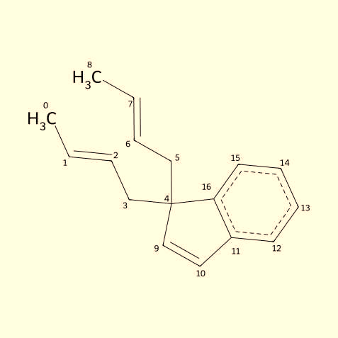 C/C=C/CC1(C/C=C/C)C=Cc2ccccc21